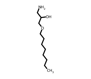 CCCCCCCCOCC(O)CN